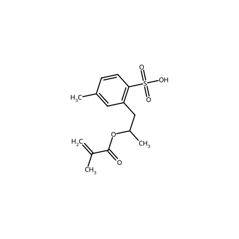 C=C(C)C(=O)OC(C)Cc1cc(C)ccc1S(=O)(=O)O